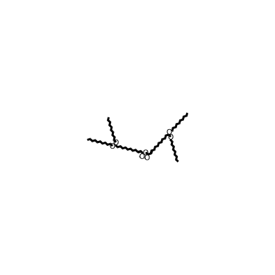 CCCCCCCCCCOC(CCCCCCCCC=CC(OC)OC(C=CCCCCCCCCC(OCCCCCCCCCC)OCCCCCCCCCC)OC)OCCCCCCCCCC